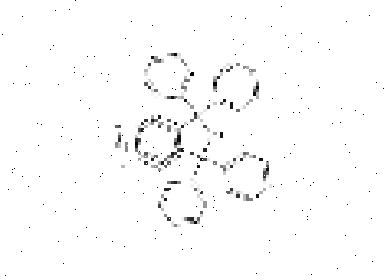 [Cl][Pd][Cl].c1ccc(C(PC(c2ccccc2)(c2ccccc2)c2ccccc2)(c2ccccc2)c2ccccc2)cc1